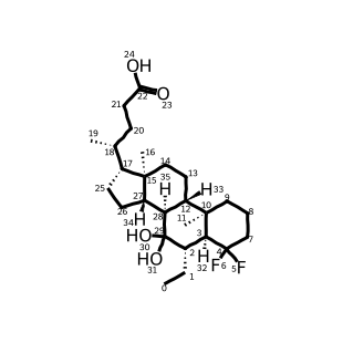 CC[C@H]1[C@@H]2C(F)(F)CCC[C@]2(C)[C@H]2CC[C@]3(C)[C@@H]([C@H](C)CCC(=O)O)CC[C@H]3[C@@H]2C1(O)O